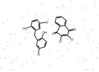 O=C1C(Cl)=C(Cl)C(=O)c2ccccc21.Oc1ccc(Cl)cc1Cc1cc(Cl)ccc1O